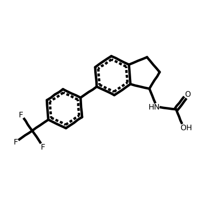 O=C(O)NC1CCc2ccc(-c3ccc(C(F)(F)F)cc3)cc21